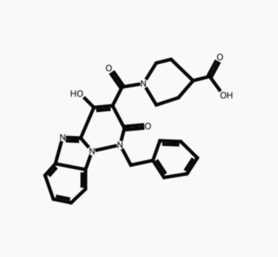 O=C(O)C1CCN(C(=O)c2c(O)c3nc4ccccc4n3n(Cc3ccccc3)c2=O)CC1